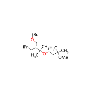 COC(C)(C)CCOC(C)(C)C(COC(C)(C)C)CC(C)C